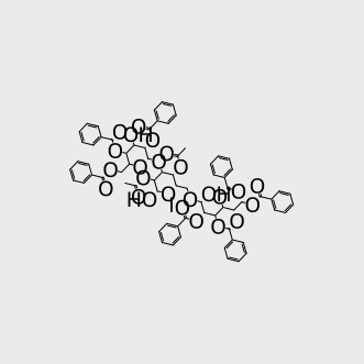 CC(=O)OC(CCOC(O)C(OC(=O)c1ccccc1)C(OC(=O)c1ccccc1)C(CCOC(=O)c1ccccc1)OC(=O)c1ccccc1)C(OC1OC(COC(=O)c2ccccc2)C(OC(=O)c2ccccc2)C(O)C1OC(=O)c1ccccc1)C(OC(C)=O)C(O)OI